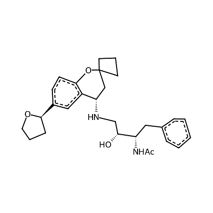 CC(=O)N[C@@H](Cc1ccccc1)[C@H](O)CN[C@H]1CC2(CCC2)Oc2ccc([C@H]3CCCO3)cc21